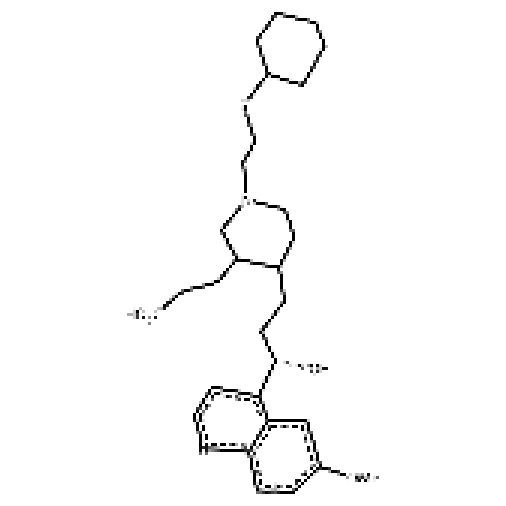 COc1ccc2nccc([C@@H](O)CCC3CCN(CCSC4CCCCC4)CC3CCC(=O)O)c2c1